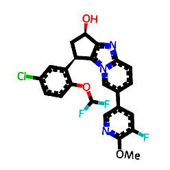 COc1ncc(-c2ccc3nc4c(n3c2)[C@@H](c2cc(Cl)ccc2OC(F)F)C[C@H]4O)cc1F